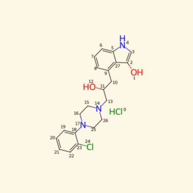 Cl.Oc1c[nH]c2cccc(CC(O)CN3CCN(c4ccccc4Cl)CC3)c12